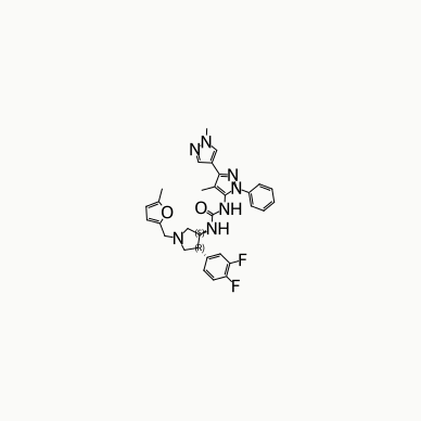 Cc1ccc(CN2C[C@@H](NC(=O)Nc3c(C)c(-c4cnn(C)c4)nn3-c3ccccc3)[C@H](c3ccc(F)c(F)c3)C2)o1